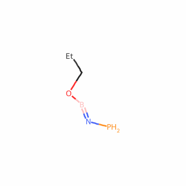 CCCOB=NP